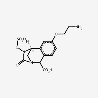 NCCOc1ccc2c(c1)[C@H]1CN(C(=O)N1OS(=O)(=O)O)C2C(=O)O